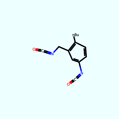 CCCCc1ccc(N=C=O)cc1CN=C=O